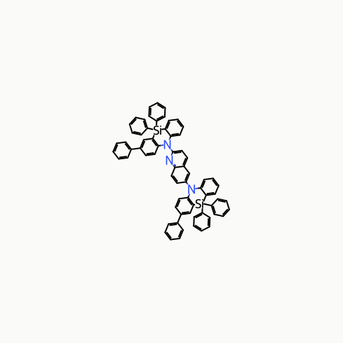 c1ccc(-c2ccc3c(c2)[Si](c2ccccc2)(c2ccccc2)c2ccccc2N3c2ccc3nc(N4c5ccccc5[Si](c5ccccc5)(c5ccccc5)c5cc(-c6ccccc6)ccc54)ccc3c2)cc1